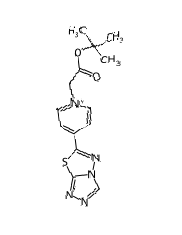 CC(C)(C)OC(=O)C[n+]1ccc(-c2nn3cnnc3s2)cc1